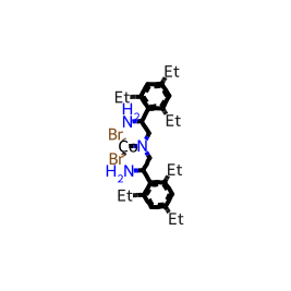 CCc1cc(CC)c(C(N)C[N](CC(N)c2c(CC)cc(CC)cc2CC)[Co]([Br])[Br])c(CC)c1